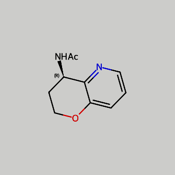 CC(=O)N[C@@H]1CCOc2cccnc21